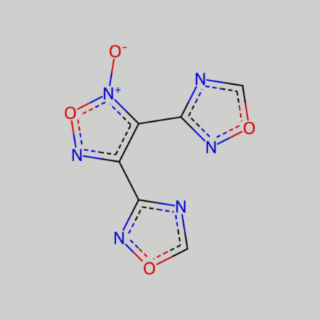 [O-][n+]1onc(-c2ncon2)c1-c1ncon1